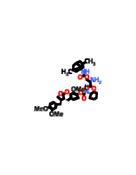 COc1ccc(C[C@H]2COC(=O)[C@@H]2Cc2ccc(OC(=O)N[C@H]3CCCC[C@@H]3OC(=O)[C@@H](N)COC(=O)NC34CC5CC(C)(CC(C)(C5)C3)C4)c(OC)c2)cc1OC